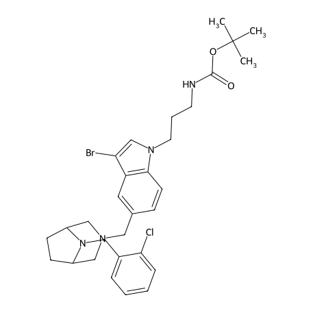 CC(C)(C)OC(=O)NCCCn1cc(Br)c2cc(CN3CC4CCC(C3)N4Cc3ccccc3Cl)ccc21